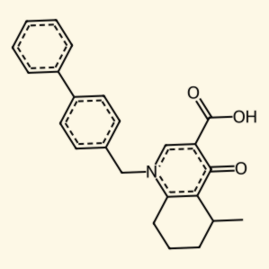 CC1CCCc2c1c(=O)c(C(=O)O)cn2Cc1ccc(-c2ccccc2)cc1